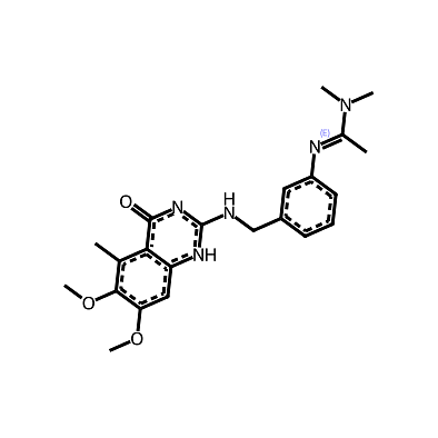 COc1cc2[nH]c(NCc3cccc(/N=C(\C)N(C)C)c3)nc(=O)c2c(C)c1OC